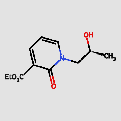 CCOC(=O)c1cccn(C[C@@H](C)O)c1=O